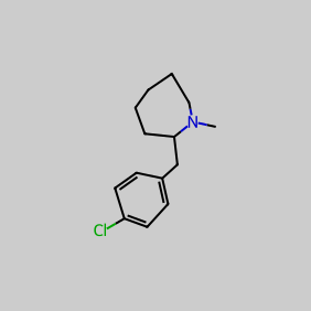 CN1CCCCCC1Cc1ccc(Cl)cc1